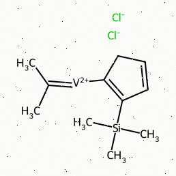 C[C](C)=[V+2][C]1=C([Si](C)(C)C)C=CC1.[Cl-].[Cl-]